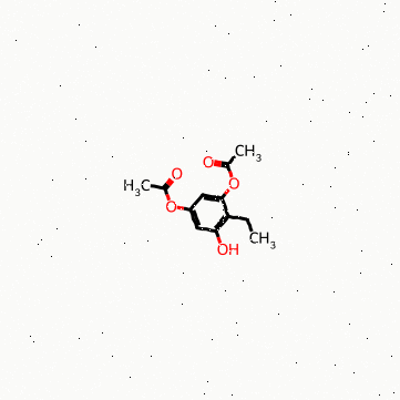 CCc1c(O)cc(OC(C)=O)cc1OC(C)=O